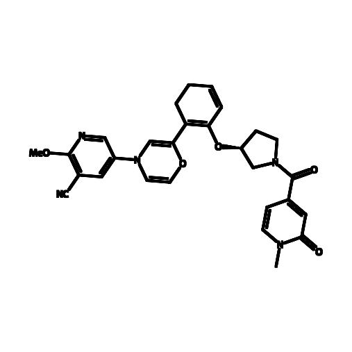 COc1ncc(N2C=COC(C3=C(O[C@H]4CCN(C(=O)c5ccn(C)c(=O)c5)C4)C=CCC3)=C2)cc1C#N